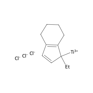 CC[C]1([Ti+3])C=CC2=C1CCCC2.[Cl-].[Cl-].[Cl-]